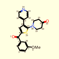 COc1cccc(C(=O)c2cc(-c3ccncc3)c(N3CCC(=O)CC3)s2)c1